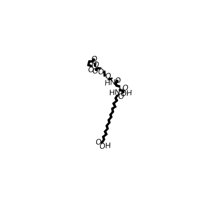 O=C(O)CCCCCCCCCCCCCCCCC(=O)N[C@@H](CCC(=O)NCCOCCOCC(=O)ON1C(=O)CCC1=O)C(=O)O